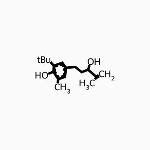 C=C(C)C(O)CCc1cc(C)c(O)c(C(C)(C)C)c1